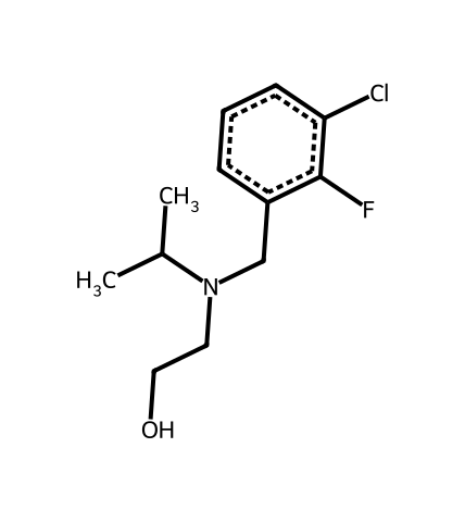 CC(C)N(CCO)Cc1cccc(Cl)c1F